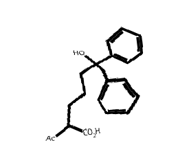 CC(=O)C(CCCC(O)(c1ccccc1)c1ccccc1)C(=O)O